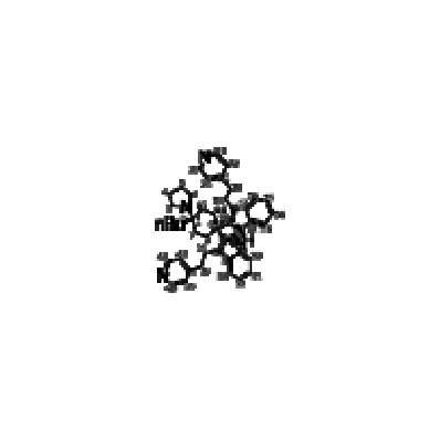 CCCCC1(N2CCCC2)CCC(c2[nH]c3ccccc3c2CCc2ccncc2)(c2[nH]c3ccccc3c2CCc2ccncc2)CC1